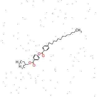 CCCCCCCCCCCCCc1ccc(C(=O)Oc2ccc(C(=O)OCC(C)CC)cc2)cc1